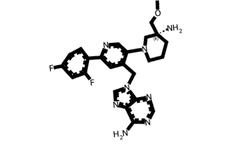 COC[C@@]1(N)CCCN(c2cnc(-c3ccc(F)cc3F)cc2Cn2cnc3c(N)ncnc32)C1